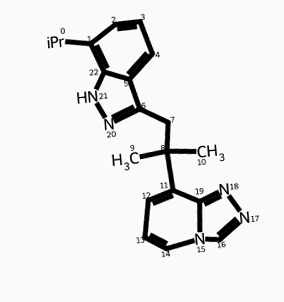 CC(C)c1cccc2c(CC(C)(C)c3cccn4cnnc34)n[nH]c12